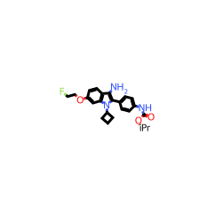 CC(C)OC(=O)Nc1ccc(-c2c(N)c3ccc(OCCF)cc3n2C2CCC2)cc1